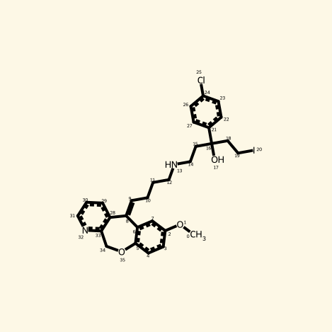 COc1ccc2c(c1)C(=CCCCNCCC(O)(CCI)c1ccc(Cl)cc1)c1cccnc1CO2